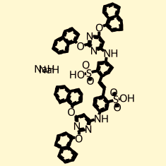 O=S(=O)(O)c1cc(Nc2cc(Oc3cccc4ccccc34)nc(Oc3cccc4ccccc34)n2)ccc1C=Cc1ccc(Nc2cc(Oc3cccc4ccccc34)nc(Oc3cccc4ccccc34)n2)cc1S(=O)(=O)O.[NaH].[NaH]